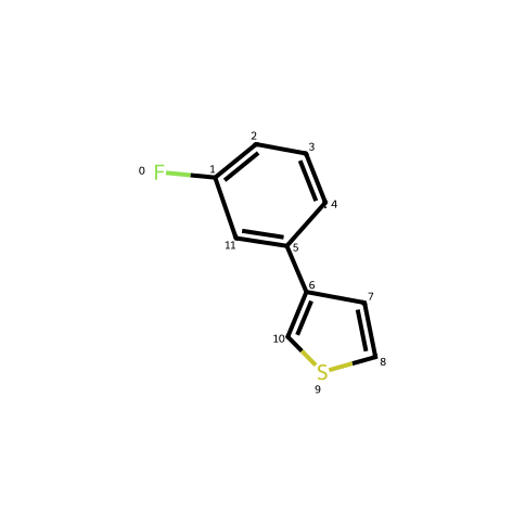 Fc1cc[c]c(-c2ccsc2)c1